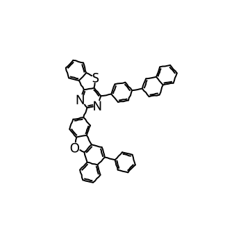 c1ccc(-c2cc3c4cc(-c5nc(-c6ccc(-c7ccc8ccccc8c7)cc6)c6sc7ccccc7c6n5)ccc4oc3c3ccccc23)cc1